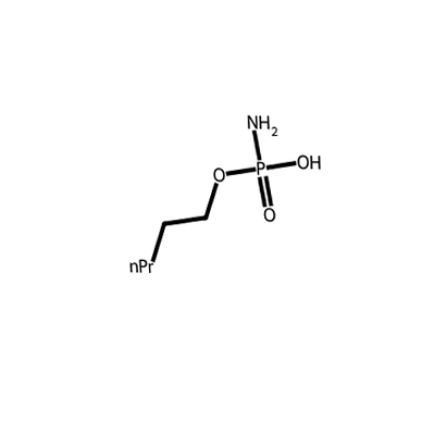 CCCCCOP(N)(=O)O